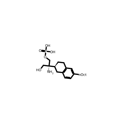 CCCCCCCCc1ccc2c(c1)CC[C@H]([C@@](N)(CO)COP(=O)(O)O)C2